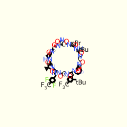 CCC[C@H]1C(=O)N[C@@H]([C@@H](C)CC)C(=O)N(C)CC(=O)N(C)[C@H]2C/C=C\CCN(C2=O)[C@@H](Cc2ccc(C(F)(F)F)cc2CC(C)(C)C)C(=O)N(C)CC(=O)N[C@@H](CCc2cc(F)c(C(F)(F)F)c(F)c2)C(=O)N2CC3(CC3)C[C@H]2C(=O)NC2(CCC2)C(=O)N(C)CC(=O)N(C)[C@H](C(=O)N(C)C)CC(=O)N1C